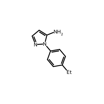 CCc1ccc(-n2nccc2N)cc1